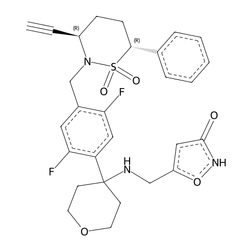 C#C[C@H]1CC[C@H](c2ccccc2)S(=O)(=O)N1Cc1cc(F)c(C2(NCc3cc(=O)[nH]o3)CCOCC2)cc1F